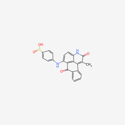 Cc1c2c3c(c(Nc4ccc(S(=O)O)cc4)ccc3[nH]c1=O)C(=O)c1ccccc1-2